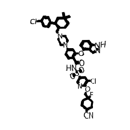 CC1(C)CCC(CN2CCN(c3ccc(C(=O)NS(=O)(=O)c4cnc(OCC5(F)CCC(C#N)CC5)c(Cl)c4)c(Oc4cccc5[nH]ncc45)c3)CC2)=C(c2ccc(Cl)cc2)C1